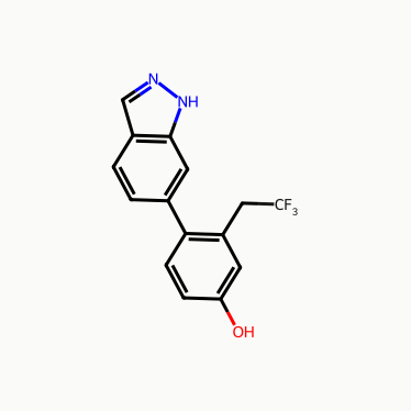 Oc1ccc(-c2ccc3cn[nH]c3c2)c(CC(F)(F)F)c1